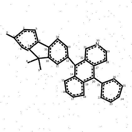 Cc1ccc2c(c1)C(C)(C)c1cc(-c3c4ccccc4c(-c4ccccc4)c4ccncc34)ccc1-2